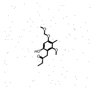 CCC(=O)Cc1c(O)cc(OCOC)c(C)c1OC